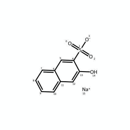 O=S(=O)([O-])c1cc2ccccc2cc1O.[Na+]